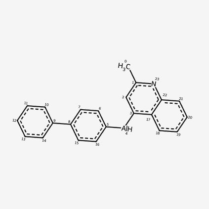 Cc1c[c]([AlH][c]2ccc(-c3ccccc3)cc2)c2ccccc2n1